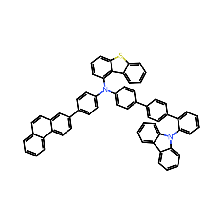 c1ccc(-n2c3ccccc3c3ccccc32)c(-c2ccc(-c3ccc(N(c4ccc(-c5ccc6c(ccc7ccccc76)c5)cc4)c4cccc5sc6ccccc6c45)cc3)cc2)c1